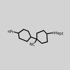 CCCCCCCC1CCC(C#N)(C2CCC(CCC)CC2)CC1